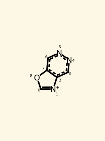 C1=[N+]c2cnncc2O1